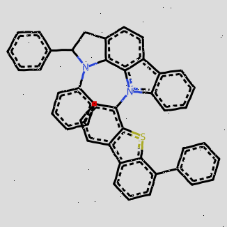 c1ccc(-c2cccc3c2sc2c(-n4c5ccccc5c5ccc6c(c54)N(c4ccccc4)C(c4ccccc4)C6)cccc23)cc1